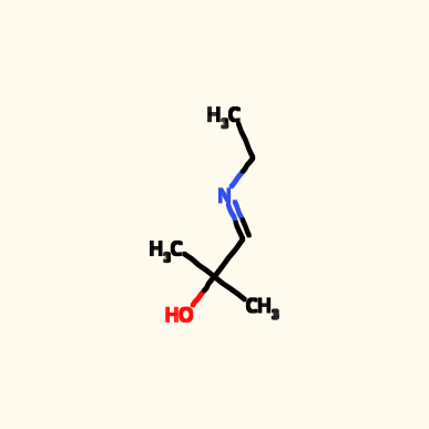 CCN=CC(C)(C)O